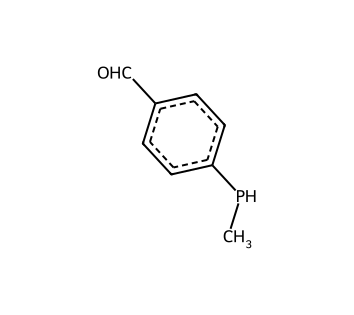 CPc1ccc(C=O)cc1